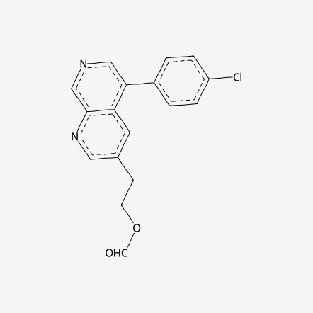 O=COCCc1cnc2cncc(-c3ccc(Cl)cc3)c2c1